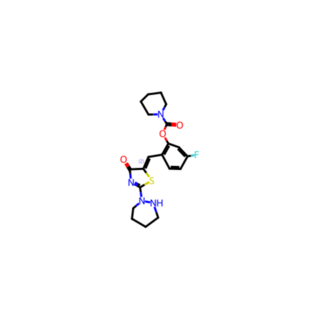 O=C1N=C(N2CCCCN2)S/C1=C\c1ccc(F)cc1OC(=O)N1CCCCC1